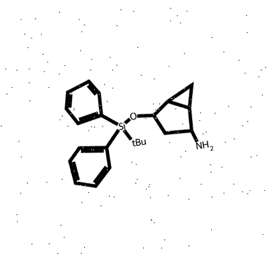 CC(C)(C)[Si](OC1CC(N)C2CC12)(c1ccccc1)c1ccccc1